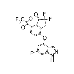 O=C1c2c(S(=O)(=O)C(F)(F)F)ccc(Oc3cc(F)cc4[nH]ncc34)c2CC1(F)F